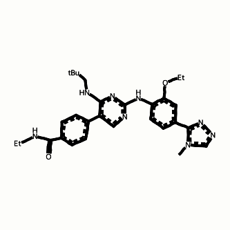 CCNC(=O)c1ccc(-c2cnc(Nc3ccc(-c4nncn4C)cc3OCC)nc2NCC(C)(C)C)cc1